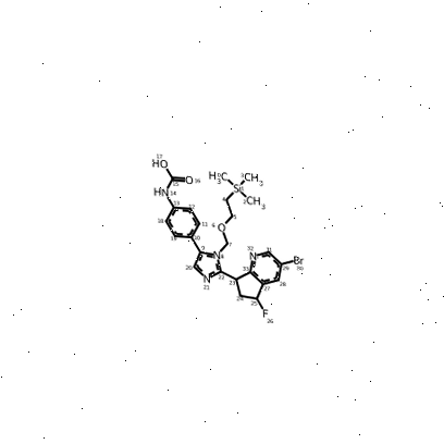 C[Si](C)(C)CCOCn1c(-c2ccc(NC(=O)O)cc2)cnc1C1CC(F)c2cc(Br)cnc21